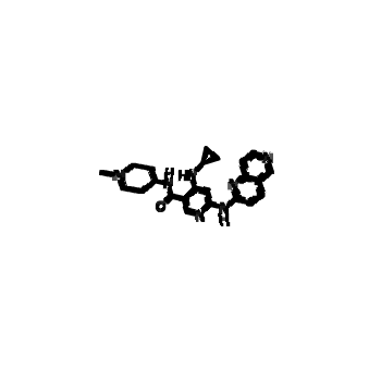 CN1CCC(NC(=O)c2cnc(Nc3ccc4cnccc4n3)cc2NC2CC2)CC1